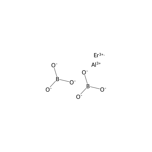 [Al+3].[Er+3].[O-]B([O-])[O-].[O-]B([O-])[O-]